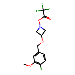 COc1cc(COC2CN(OC(=O)C(F)(F)F)C2)ccc1F